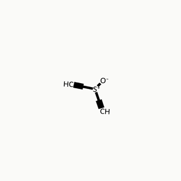 C#C[S+]([O-])C#C